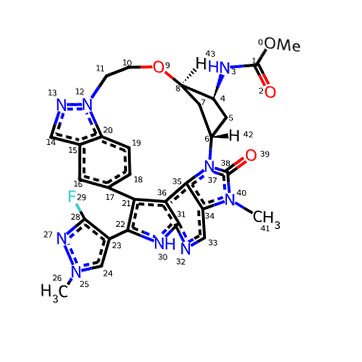 COC(=O)N[C@H]1C[C@H]2C[C@H]1OCCn1ncc3cc(ccc31)-c1c(-c3cn(C)nc3F)[nH]c3ncc4c(c13)n2c(=O)n4C